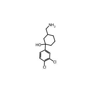 NCC1CCCC(O)(c2ccc(Cl)c(Cl)c2)C1